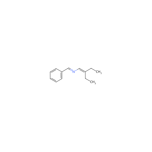 CCC(=CN=Cc1ccccc1)CC